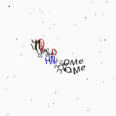 COc1ccc(CCNC(=O)CCC2CC=CO2)cc1OC